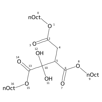 CCCCCCCCOC(=O)CC(C(=O)OCCCCCCCC)C(O)(O)C(=O)OCCCCCCCC